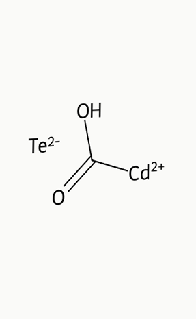 O=[C](O)[Cd+2].[Te-2]